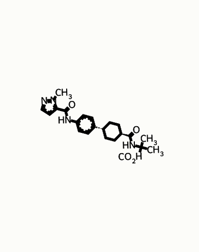 Cn1nccc1C(=O)Nc1ccc([C@H]2CC[C@H](C(=O)NC(C)(C)C(=O)O)CC2)cc1